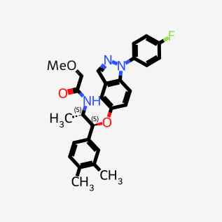 COCC(=O)N[C@@H](C)[C@@H](Oc1ccc2c(cnn2-c2ccc(F)cc2)c1)c1ccc(C)c(C)c1